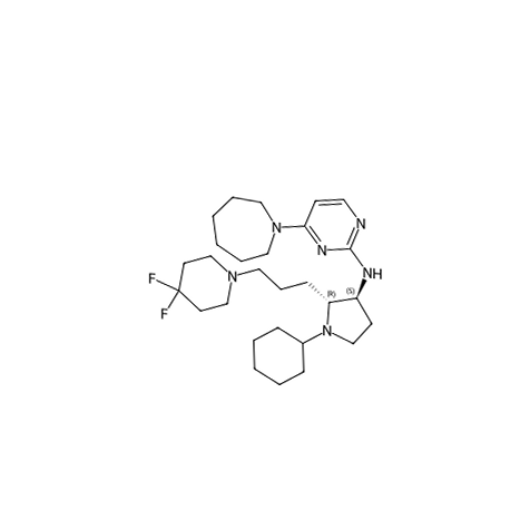 FC1(F)CCN(CCC[C@@H]2[C@@H](Nc3nccc(N4CCCCCC4)n3)CCN2C2CCCCC2)CC1